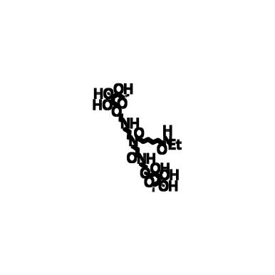 CCNC(=O)CCCCC(=O)N(CCCNCCO[C@@H]1O[C@@H](C)[C@@H](O)[C@@H](O)[C@@H]1O)CCC(=O)NCCO[C@@H]1O[C@@H](C)[C@@H](O)[C@@H](O)[C@@H]1O